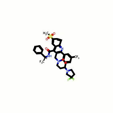 CS(=O)(=O)c1ccc2nc(-c3cccc(C(F)(F)F)c3)c(CN3CCC(N4CCC(F)(F)C4)CC3)c(C(=O)N[C@H](c3ccccc3)C(F)(F)F)c2c1